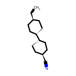 C=C[C@H]1CC[C@H]([C@H]2CC[C@H](C#N)CC2)CC1